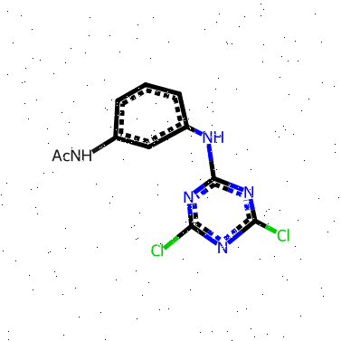 CC(=O)Nc1cccc(Nc2nc(Cl)nc(Cl)n2)c1